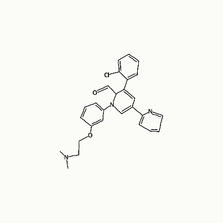 CN(C)CCOc1cccc(N2C=C(c3ccccn3)C=C(c3ccccc3Cl)C2C=O)c1